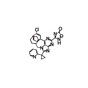 O=c1nc(-c2nc(-c3cccc(Cl)c3)c3c(n2)nc(C2(c4ccccn4)CC2)n3CC2CCCCC2)[nH]o1